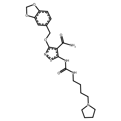 NC(=O)c1c(OCc2ccc3c(c2)OCO3)nsc1NC(=O)NCCCCN1CCCC1